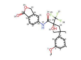 COc1cccc(C(C)(C)CC(O)(C(=O)Nc2ccc3c(c2)COC3=O)C(F)(F)F)c1